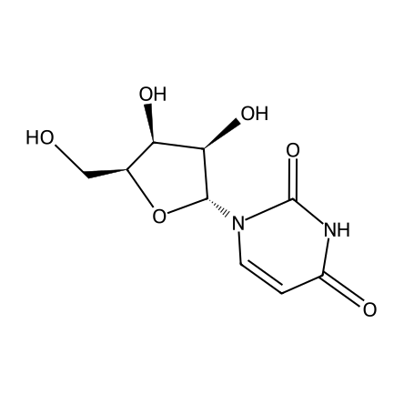 O=c1ccn([C@@H]2O[C@@H](CO)[C@@H](O)[C@H]2O)c(=O)[nH]1